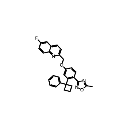 Cc1nc(-c2ccc(OCc3ccc4cc(F)ccc4n3)cc2C2(c3ccccc3)CCC2)no1